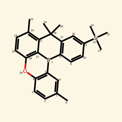 Cc1ccc2c(c1)B1c3ccc([Si](C)(C)C)cc3C(C)(C)c3c(C)ccc(c31)O2